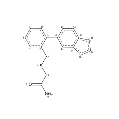 NC(=O)CSCc1ccccc1-c1ccc2sccc2c1